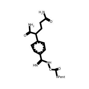 CCCCCC(=O)ONC(=N)c1ccc(C(CCC(N)=O)C(N)=O)cc1